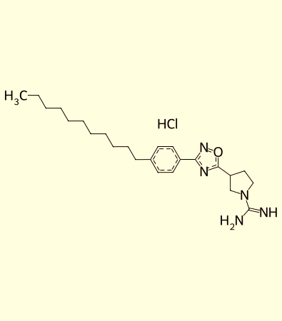 CCCCCCCCCCCc1ccc(-c2noc(C3CCN(C(=N)N)C3)n2)cc1.Cl